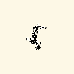 CCC(CN1CCCC1=O)c1nc(-c2ccc(C(=O)Nc3cc(C(=O)OC)ccn3)cc2)c2c(N)nccn12